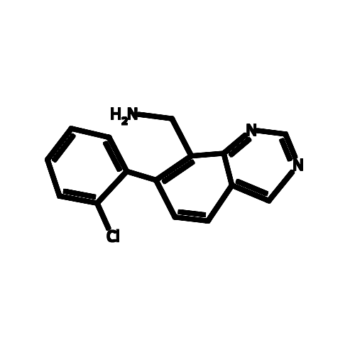 NCc1c(-c2ccccc2Cl)ccc2cncnc12